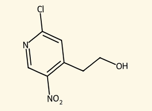 O=[N+]([O-])c1cnc(Cl)cc1CCO